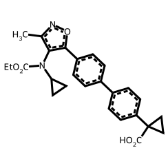 CCOC(=O)N(c1c(C)noc1-c1ccc(-c2ccc(C3(C(=O)O)CC3)cc2)cc1)C1CC1